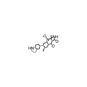 O=c1[nH]sc2c1c(=O)c1cc(F)c(-c3ccc4c(c3)CCCN4)cc1n2C1CC1